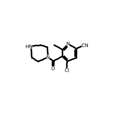 Cc1nc(C#N)cc(Cl)c1C(=O)N1CCNCC1